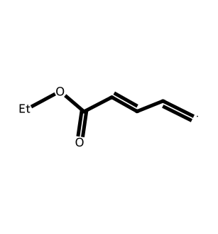 [CH]=CC=CC(=O)OCC